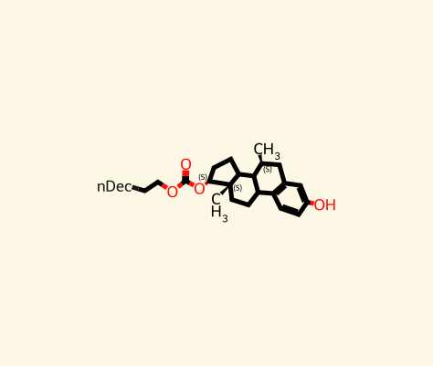 CCCCCCCCCCCCOC(=O)O[C@H]1CCC2C3C(CC[C@@]21C)c1ccc(O)cc1C[C@@H]3C